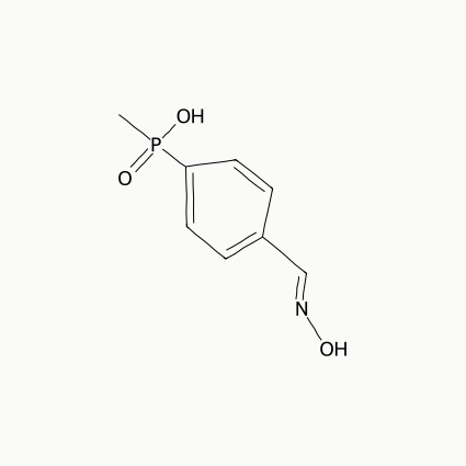 CP(=O)(O)c1ccc(C=NO)cc1